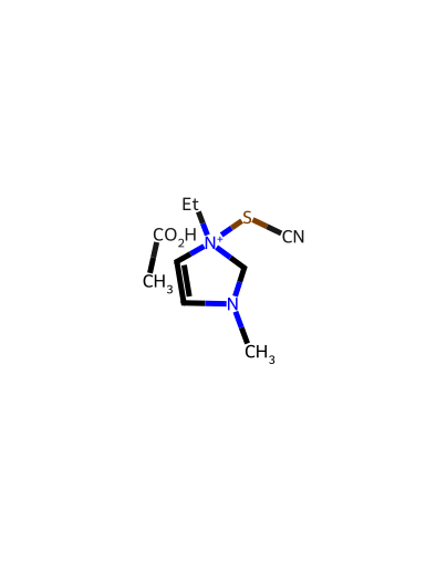 CC(=O)O.CC[N+]1(SC#N)C=CN(C)C1